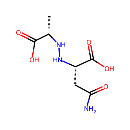 C[C@H](NN[C@@H](CC(N)=O)C(=O)O)C(=O)O